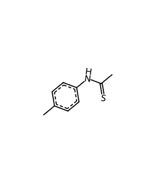 CC(=S)Nc1ccc(C)cc1